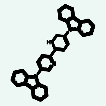 C1=C(c2ccc(-n3c4ccccc4c4ccccc43)cn2)NCC(n2c3ccccc3c3ccccc32)=C1